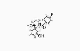 O=C(c1ccc(F)cc1)N1CCCC(O)(c2cccc(O)c2)C1